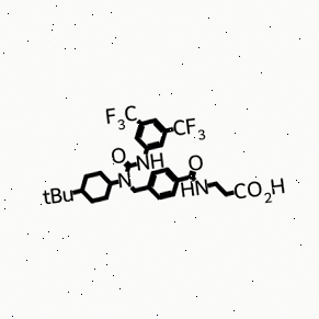 CC(C)(C)C1CCC(N(Cc2ccc(C(=O)NCCC(=O)O)cc2)C(=O)Nc2cc(C(F)(F)F)cc(C(F)(F)F)c2)CC1